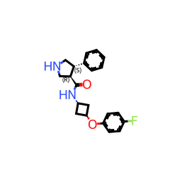 O=C(N[C@H]1C[C@H](Oc2ccc(F)cc2)C1)[C@H]1CNC[C@@H]1c1ccccc1